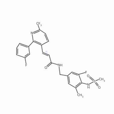 Cc1cc(CNC(=O)/C=C/c2ccc(C(F)(F)F)nc2-c2cccc(F)c2)cc(F)c1NS(C)(=O)=O